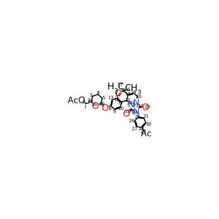 CC(=O)OC[C@H]1CCC[C@H](Oc2ccc3c(c2)OC(C)(C)C2=CCn4c(=O)n(-c5ccc(C(C)=O)cc5)c(=O)n4C23)O1